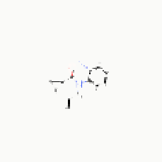 C=CCN(C(=O)C1CC1)c1ccccc1N